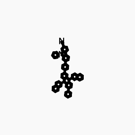 N#Cc1ccc2c3ccc(-c4ccc(-c5ccc6c(-c7ccc8ccccc8c7)c7cc(-c8ccccc8)ccc7c(-c7ccc8ccccc8c7)c6c5)cc4)cc3n(-c3ccccc3)c2c1